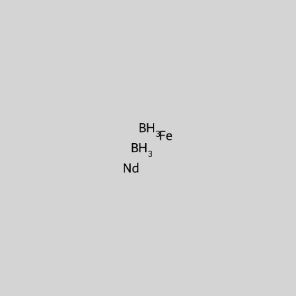 B.B.[Fe].[Nd]